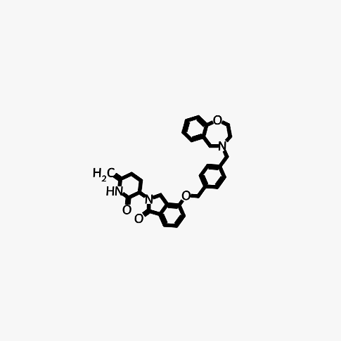 C=C1CCC(N2Cc3c(OCc4ccc(CN5CCOc6ccccc6C5)cc4)cccc3C2=O)C(=O)N1